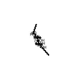 CCCCCCCCCNC(C)c1n[nH]c2c(C3=C(O)C(C4C(C(C)(C)C)=Nn5c(C(C)NS(=O)(=O)CCCCCCCC)nnc54)C3=O)c(C(C)(C)C)nn12